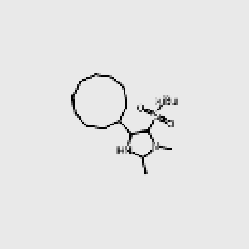 CC[C@H](C)S(=O)(=O)C1C(C2CCCCCCCCC2)NC(C)N1C